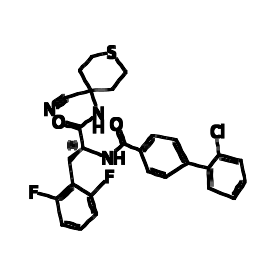 N#CC1(NC(=O)[C@H](Cc2c(F)cccc2F)NC(=O)c2ccc(-c3ccccc3Cl)cc2)CCSCC1